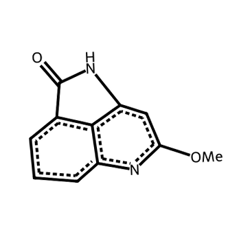 COc1cc2c3c(cccc3n1)C(=O)N2